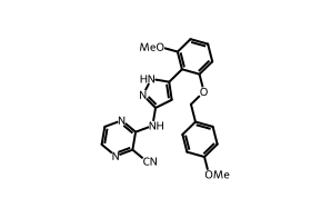 COc1ccc(COc2cccc(OC)c2-c2cc(Nc3nccnc3C#N)n[nH]2)cc1